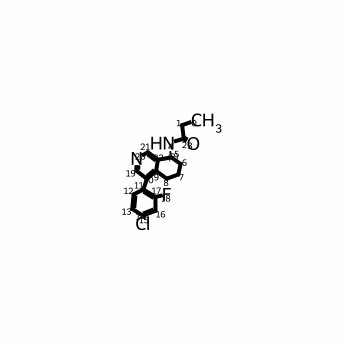 CCC(=O)N[C@@H]1CCCc2c(-c3ccc(Cl)cc3F)cncc21